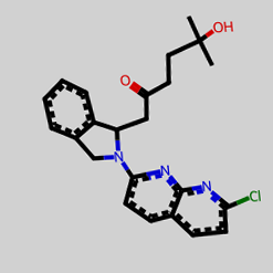 CC(C)(O)CCC(=O)CC1c2ccccc2CN1c1ccc2ccc(Cl)nc2n1